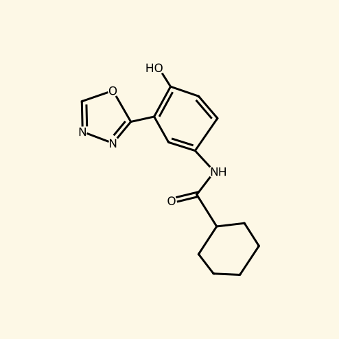 O=C(Nc1ccc(O)c(-c2nnco2)c1)C1CCCCC1